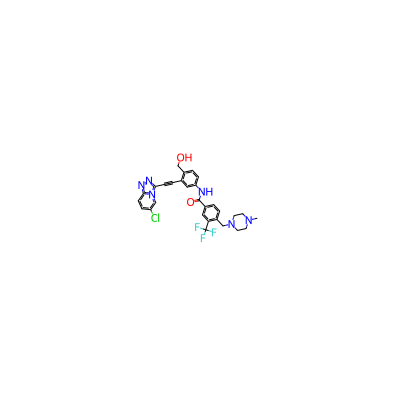 CN1CCN(Cc2ccc(C(=O)Nc3ccc(CO)c(C#Cc4nnc5ccc(Cl)cn45)c3)cc2C(F)(F)F)CC1